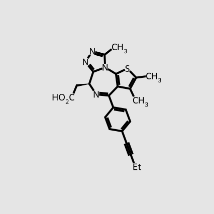 CCC#Cc1ccc(C2=N[C@@H](CC(=O)O)c3nnc(C)n3-c3sc(C)c(C)c32)cc1